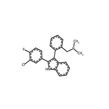 CN(C)Cc1ccccc1-c1c(-c2ccc(F)c(Cl)c2)[nH]c2ccccc12